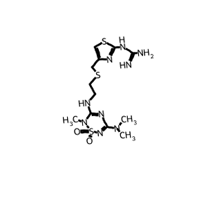 CN(C)C1=NS(=O)(=O)N(C)C(NCCSCc2csc(NC(=N)N)n2)=N1